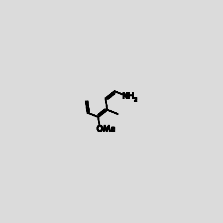 C=C/C(OC)=C(C)\C=C/N